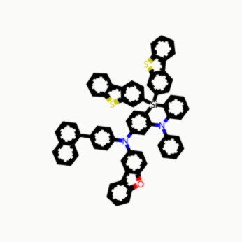 c1ccc(N2c3ccccc3[Si](c3ccc4c(c3)sc3ccccc34)(c3ccc4c(c3)sc3ccccc34)c3ccc(N(c4ccc(-c5cccc6ccccc56)cc4)c4ccc5oc6ccccc6c5c4)cc32)cc1